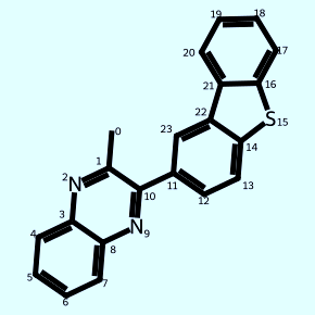 Cc1nc2ccccc2nc1-c1ccc2sc3ccccc3c2c1